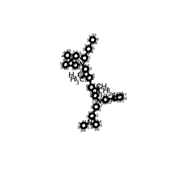 CC1(C)c2cc(-c3ccc4c(c3)C(C)(C)c3cc(N(c5ccc(-c6ccc(-c7ccccc7)cc6)cc5)c5ccc6c(c5)C(c5ccccc5)(c5ccccc5)c5ccccc5-6)ccc3-4)ccc2-c2ccc(N(c3ccc(-c4ccc5c(c4)c4ccccc4n5-c4ccccc4)cc3)c3ccc(-c4cc5ccccc5s4)cc3)cc21